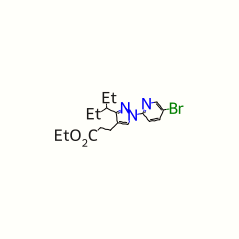 CCOC(=O)CCc1cn(-c2ccc(Br)cn2)nc1C(CC)CC